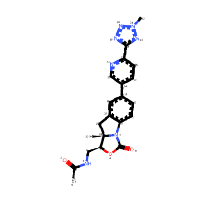 CCC(=O)NC[C@@H]1OC(=O)N2c3ccc(-c4ccc(-c5nnn(C)n5)nc4)cc3C[C@@H]12